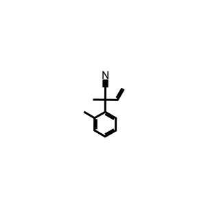 C=CC(C)(C#N)c1ccccc1C